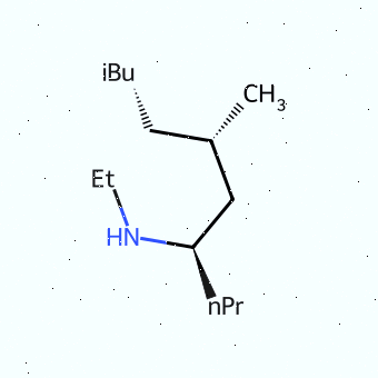 CCC[C@H](C[C@@H](C)C[C@@H](C)CC)NCC